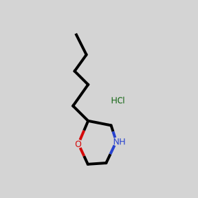 CCCCCC1CNCCO1.Cl